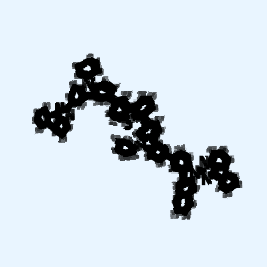 c1ccc(-n2c3ccc(-c4ccc5sc6c(-c7ccc8c9cc(-c%10ccc%11c(c%10)c%10cc%12ccccc%12cc%10n%11-c%10nc%11c%12c(cccc%12n%10)-c%10ccccc%10-%11)ccc9n(-c9ccccc9)c8c7)cccc6c5c4)cc3c3cc(-c4nc5c6c(cccc6n4)-c4ccccc4-5)ccc32)cc1